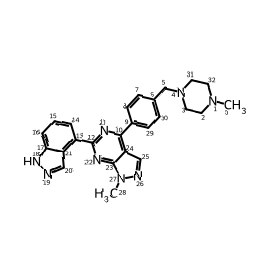 CN1CCN(Cc2ccc(-c3nc(-c4cccc5[nH]ncc45)nc4c3cnn4C)cc2)CC1